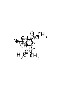 COC(=O)c1cc(CN(C)OC)cc(C(C)(C)C#N)c1